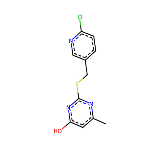 Cc1cc(O)nc(SCc2ccc(Cl)nc2)n1